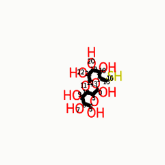 OCC1O[C@@H](O)C(O)C(O)[C@@H]1O[C@@H]1OC(CS)[C@H](O)C(O)C1O